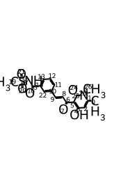 Cc1cc(O)c(C(=O)/C=C/c2cccc(C(=O)NS(C)(=O)=O)c2)c(=O)n1C